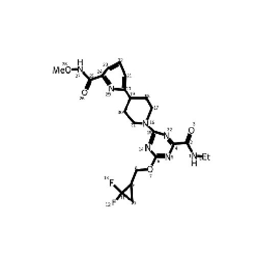 CCNC(=O)c1nc(OCC2CC2(F)F)nc(N2CCC(c3cccc(C(=O)NOC)n3)CC2)n1